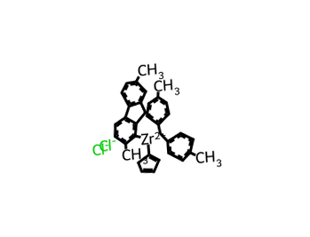 Cc1ccc([C](c2ccc(C)cc2)=[Zr+2]([C]2=CC=CC2)[c]2c(C)ccc3c2Cc2cc(C)ccc2-3)cc1.[Cl-].[Cl-]